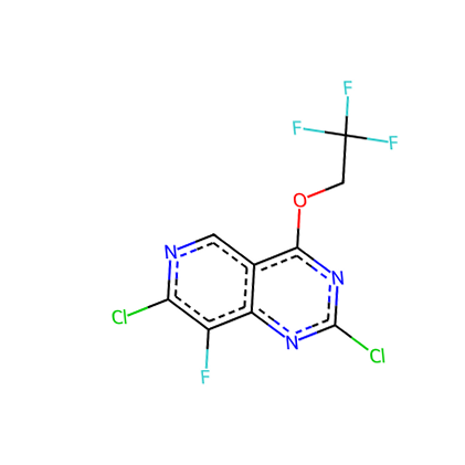 Fc1c(Cl)ncc2c(OCC(F)(F)F)nc(Cl)nc12